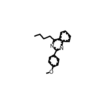 CCCCc1nc(-c2ccc(OC)cc2)nc2ccccc12